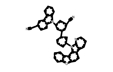 N#Cc1cc(-c2cccc(-n3c4ncccc4c4ccc5oc6ccccc6c5c43)c2)cc(-n2c3ccccc3c3cc(C#N)ccc32)c1